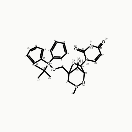 CN1CC2(CO[Si](c3ccccc3)(c3ccccc3)C(C)(C)C)OC(n3ccc(=O)[nH]c3=O)C(O1)C2O